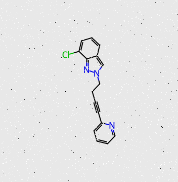 Clc1cccc2cn(CCC#Cc3ccccn3)nc12